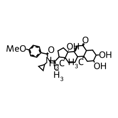 COc1ccc(C(=O)N(C2CC2)C(C)C2CC[C@@]3(O)C4=CC(=O)C5CC(O)C(O)CC5(C)C4CCC23C)cc1